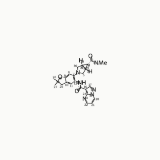 CNC(=O)[C@@H]1[C@@H]2CN(c3cc4c(cc3NC(=O)c3cnn5cccnc35)CC(C)(C)O4)C[C@@H]21